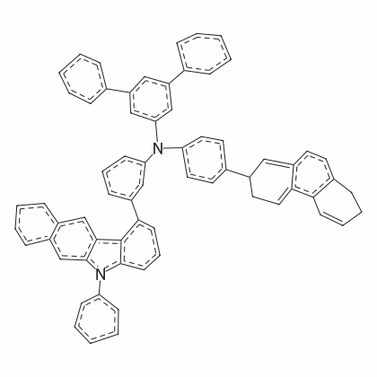 C1=Cc2c(ccc3c2=CCC(c2ccc(N(c4cc(-c5ccccc5)cc(-c5ccccc5)c4)c4cccc(-c5cccc6c5c5cc7ccccc7cc5n6-c5ccccc5)c4)cc2)C=3)CC1